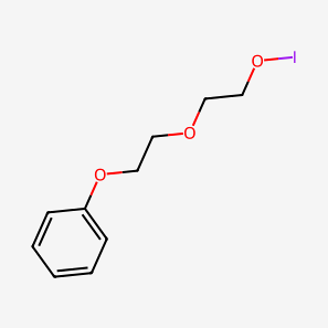 IOCCOCCOc1ccccc1